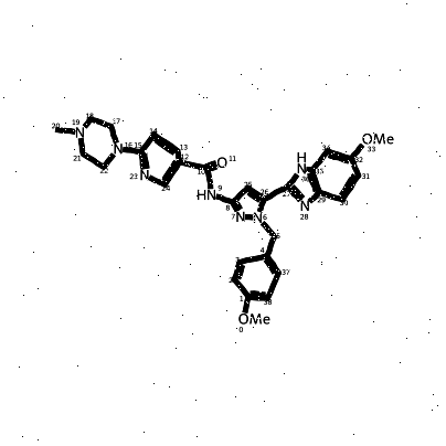 COc1ccc(Cn2nc(NC(=O)c3ccc(N4CCN(C)CC4)nc3)cc2-c2nc3ccc(OC)cc3[nH]2)cc1